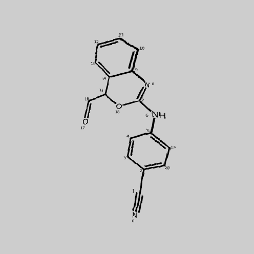 N#Cc1ccc(NC2=Nc3ccccc3C(C=O)O2)cc1